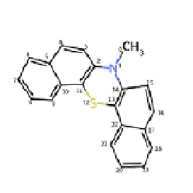 CN1c2ccc3ccccc3c2Sc2c1ccc1ccccc21